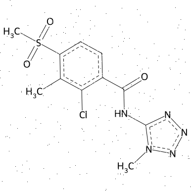 Cc1c(S(C)(=O)=O)ccc(C(=O)Nc2nnnn2C)c1Cl